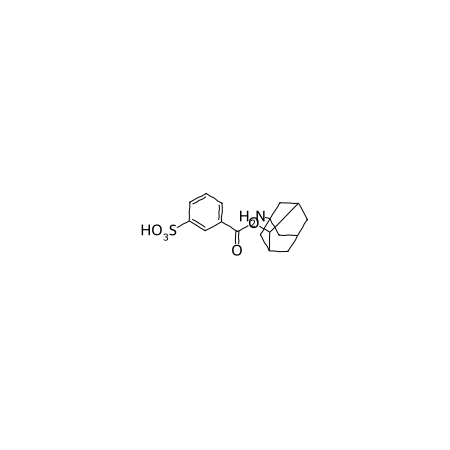 NC12CC3CC(C1)C(OC(=O)c1cccc(S(=O)(=O)O)c1)C(C3)C2